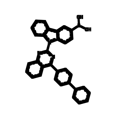 OB(O)c1ccc2c(c1)c1ccccc1n2-c1nc(-c2ccc(-c3ccccc3)cc2)c2ccccc2n1